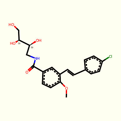 COc1ccc(C(=O)NC[C@H](O)[C@@H](O)CO)cc1C=Cc1ccc(Cl)cc1